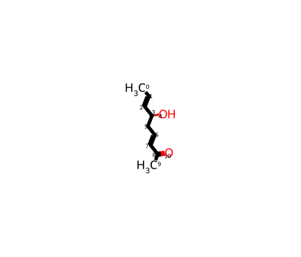 C/C=C/[C@@H](O)C/C=C/C(C)=O